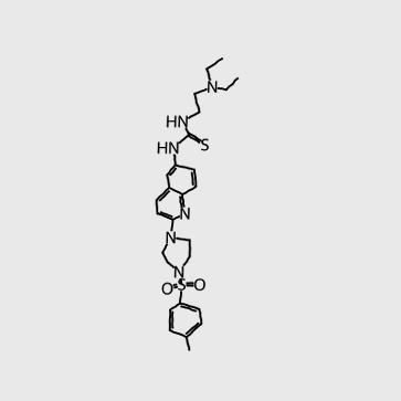 CCN(CC)CCNC(=S)Nc1ccc2nc(N3CCN(S(=O)(=O)c4ccc(C)cc4)CC3)ccc2c1